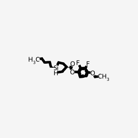 CCCCC[Si@H]1CC[C@H](C(=O)Oc2ccc(OCC)c(F)c2F)CC1